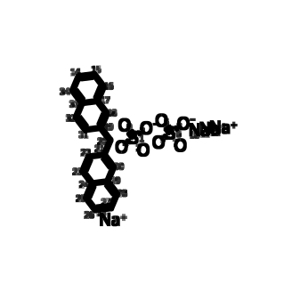 O=S(=O)([O-])[O-].O=S(=O)([O-])[O-].[Na+].[Na+].[Na+].[Na+].c1ccc2cc(Cc3ccc4ccccc4c3)ccc2c1